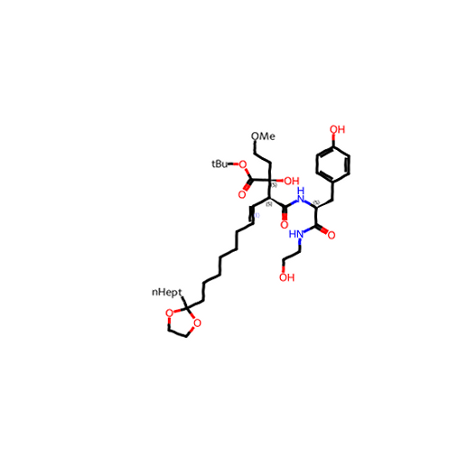 CCCCCCCC1(CCCCCC/C=C/[C@H](C(=O)N[C@@H](Cc2ccc(O)cc2)C(=O)NCCO)[C@@](O)(CCOC)C(=O)OC(C)(C)C)OCCO1